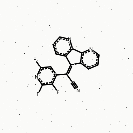 N#CC(=C1c2cccnc2-c2ncccc21)c1cc(F)nc(F)c1F